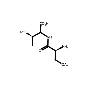 CC(=O)OC[C@H](N)C(=O)N[C@H](C(=O)O)[C@@H](C)OC(C)=O